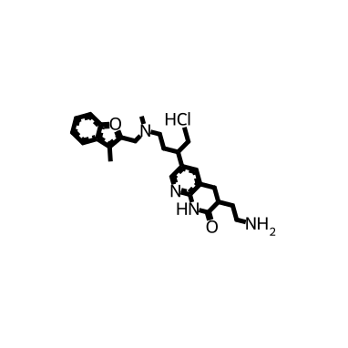 CCC(CCN(C)Cc1oc2ccccc2c1C)c1cnc2c(c1)CC(CCN)C(=O)N2.Cl